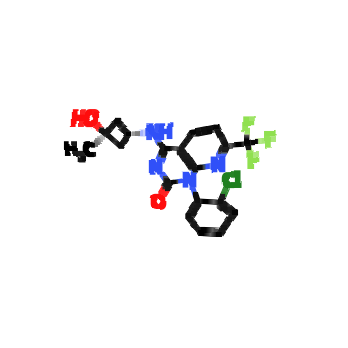 C[C@]1(O)C[C@H](Nc2nc(=O)n(-c3ccccc3Cl)c3nc(C(F)(F)F)ccc23)C1